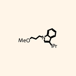 COCCCn1cc(C(C)C)c2ccccc21